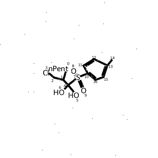 CCCCCC(CCl)C(O)(O)S(=O)(=O)c1ccc(C)cc1